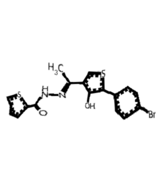 CC(=NNC(=O)c1cccs1)c1csc(-c2ccc(Br)cc2)c1O